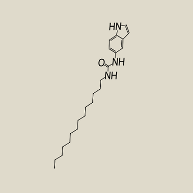 CCCCCCCCCCCCCCNC(=O)Nc1ccc2[nH]ccc2c1